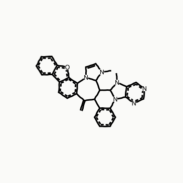 C=C1c2ccc3c(oc4ccccc43)c2N2C=CN(C)C2C2C1c1ccccc1N1c3ncncc3N(C)C21